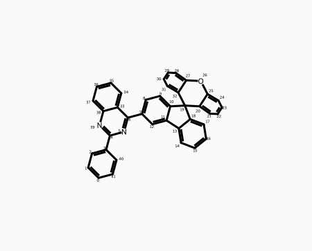 c1ccc(-c2nc(-c3ccc4c(c3)-c3ccccc3C43c4ccccc4Oc4ccccc43)c3ccccc3n2)cc1